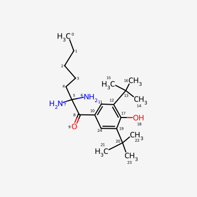 CCCCCC(N)(N)C(=O)c1cc(C(C)(C)C)c(O)c(C(C)(C)C)c1